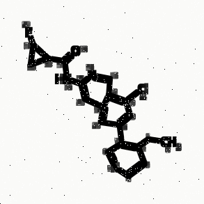 CCc1ccncc1-c1cc(Cl)c2cnc(NC(=O)C3CC3F)cc2c1